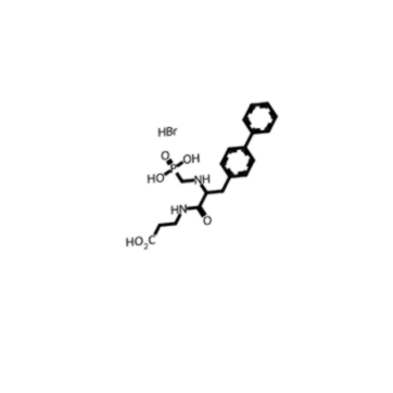 Br.O=C(O)CCNC(=O)C(Cc1ccc(-c2ccccc2)cc1)NCP(=O)(O)O